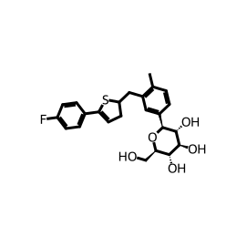 Cc1ccc([C@@H]2O[C@H](CO)[C@@H](O)[C@H](O)[C@H]2O)cc1CC1CC=C(c2ccc(F)cc2)S1